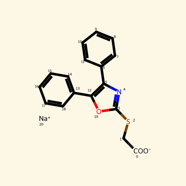 O=C([O-])CSc1nc(-c2ccccc2)c(-c2ccccc2)o1.[Na+]